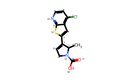 CC1C(c2cc3c(Cl)ccnc3s2)=CCN1C(=O)O